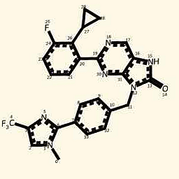 Cn1cc(C(F)(F)F)nc1-c1ccc(Cn2c(=O)[nH]c3cnc(-c4cccc(F)c4C4CC4)nc32)cc1